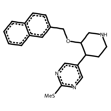 CSc1ncc(C2CCNCC2OCc2ccc3ccccc3c2)cn1